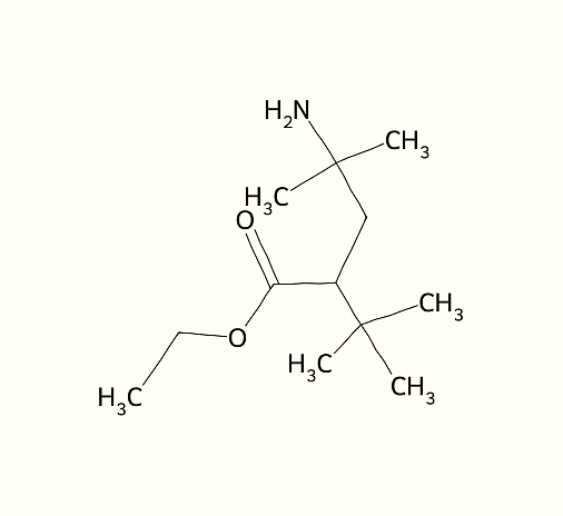 CCOC(=O)C(CC(C)(C)N)C(C)(C)C